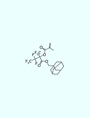 C=C(C)C(=O)OC(C(=O)OCC12CC3CC(CC(C3)C1)C2)(C(F)(F)F)C(F)(F)C(F)(F)F